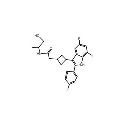 C[C@@H](CO)NC(=O)CC1CC(c2c(-c3ccc(F)cc3)[nH]c3c(F)cc(F)cc23)C1